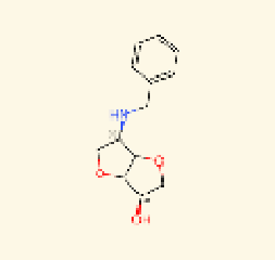 O[C@@H]1COC2C1OC[C@H]2NCc1ccccc1